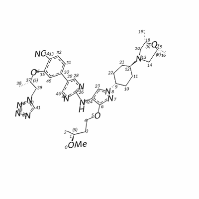 CO[C@@H](C)CCOc1nn([C@H]2CC[C@H](N3C[C@@H](C)O[C@@H](C)C3)CC2)cc1Nc1ncc(-c2ccc(C#N)c(O[C@@H](C)Cn3cnnn3)c2)cn1